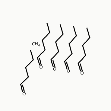 C.CCCCC=O.CCCCC=O.CCCCC=O.CCCCC=O.CCCCC=O